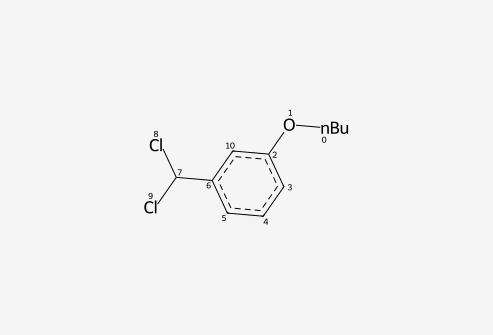 CCCCOc1cccc(C(Cl)Cl)c1